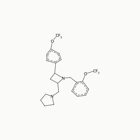 FC(F)(F)Oc1ccc(C2CC(CN3CCCC3)N2Cc2ccccc2OC(F)(F)F)cc1